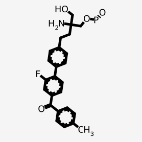 Cc1ccc(C(=O)c2ccc(-c3ccc(CCC(N)(CO)COP=O)cc3)c(F)c2)cc1